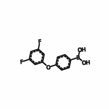 OB(O)c1ccc(Oc2cc(F)cc(F)c2)cc1